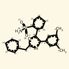 Cc1cc(C)cc(-c2nc(Cc3ccccc3)oc2-c2ccccc2S(N)(=O)=O)c1